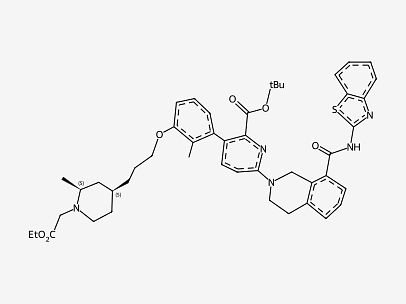 CCOC(=O)CN1CC[C@H](CCCOc2cccc(-c3ccc(N4CCc5cccc(C(=O)Nc6nc7ccccc7s6)c5C4)nc3C(=O)OC(C)(C)C)c2C)C[C@@H]1C